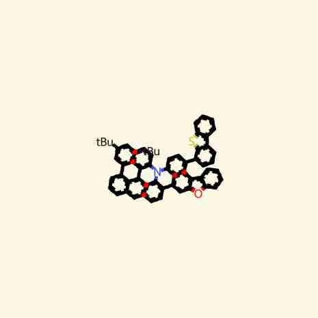 CC(C)(C)c1cc(-c2cccc3cccc(-c4ccccc4N(c4ccc(-c5cccc6c5sc5ccccc56)cc4)c4ccccc4-c4ccc5c(c4)oc4ccccc45)c23)cc(C(C)(C)C)c1